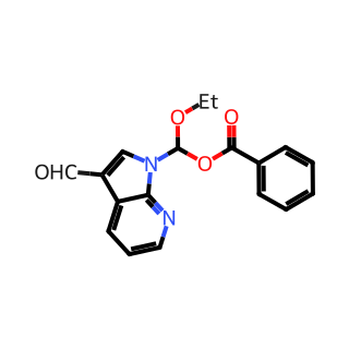 CCOC(OC(=O)c1ccccc1)n1cc(C=O)c2cccnc21